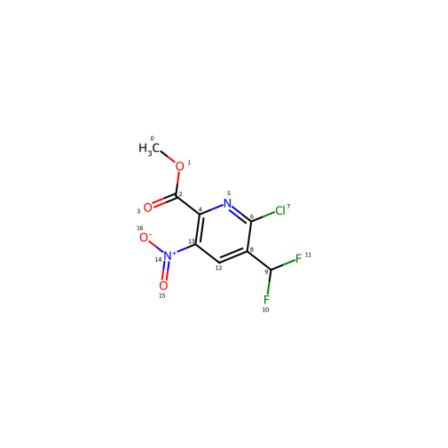 COC(=O)c1nc(Cl)c(C(F)F)cc1[N+](=O)[O-]